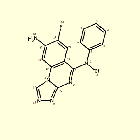 CCN(c1ccccc1)c1nc2nncn2c2cc(N)c(F)cc12